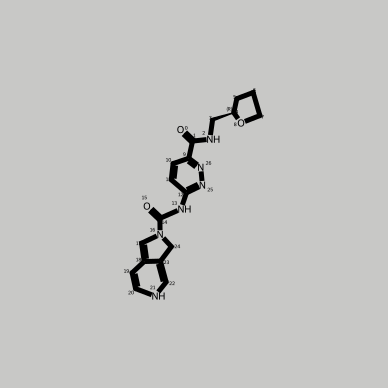 O=C(NC[C@H]1CCCO1)c1ccc(NC(=O)N2C=C3C=CNC=C3C2)nn1